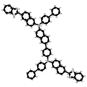 c1ccc(-c2ccc(N(c3ccc(-c4ccc5cc(N(c6ccc(-c7ccccc7)cc6)c6ccc7cc(-c8nc9ccccc9o8)ccc7c6)ccc5c4)cc3)c3ccc4cc(-c5nc6ccccc6o5)ccc4c3)cc2)cc1